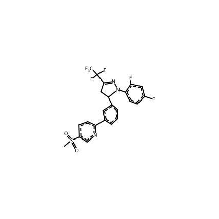 CS(=O)(=O)c1ccc(-c2cccc(C3CC(C(F)(F)C(F)(F)F)=NN3c3ccc(F)cc3F)c2)nc1